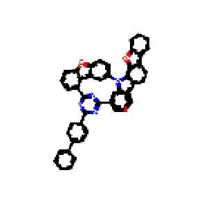 c1ccc(-c2ccc(-c3nc(-c4ccccc4)nc(-c4cccc5oc6ccc(-n7c8ccccc8c8ccc9c%10ccccc%10oc9c87)cc6c45)n3)cc2)cc1